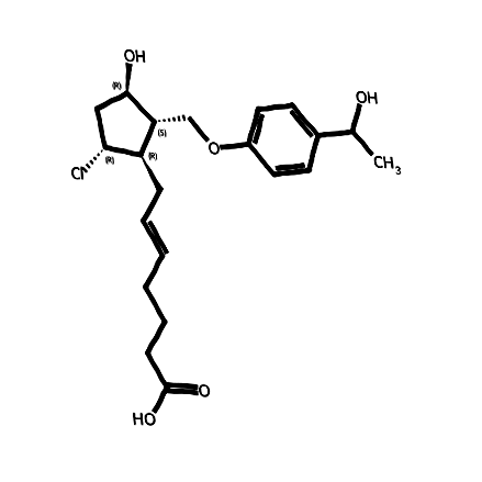 CC(O)c1ccc(OC[C@@H]2[C@@H](CC=CCCCC(=O)O)[C@H](Cl)C[C@H]2O)cc1